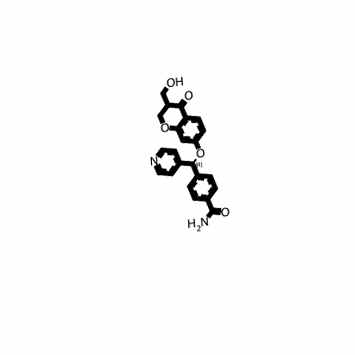 NC(=O)c1ccc([C@@H](Oc2ccc3c(c2)OCC(CO)C3=O)c2ccncc2)cc1